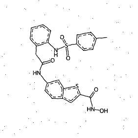 Cc1ccc(S(=O)(=O)Nc2ccccc2CC(=O)Nc2ccc3cc(C(=O)NO)sc3c2)cc1